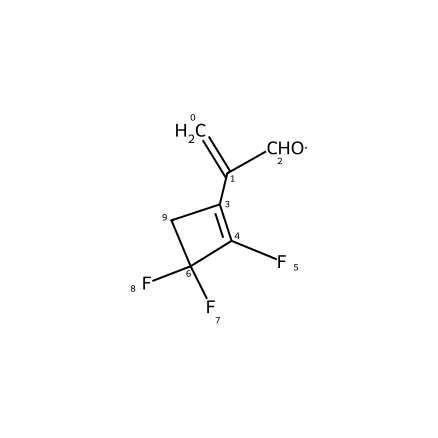 C=C([C]=O)C1=C(F)C(F)(F)C1